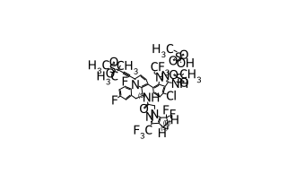 CC(C)(C#Cc1ccc(-c2ccc(Cl)c3c(NS(C)(=O)=O)nn(CC(F)(F)F)c23)c([C@H](Cc2cc(F)cc(F)c2)NC(=O)Cn2nc(C(F)(F)F)c3c2C(F)(F)[C@@H]2C[C@H]32)n1)S(C)(=O)=O.CCS(=O)(=O)O